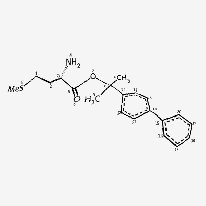 CSCC[C@H](N)C(=O)OC(C)(C)c1ccc(-c2ccccc2)cc1